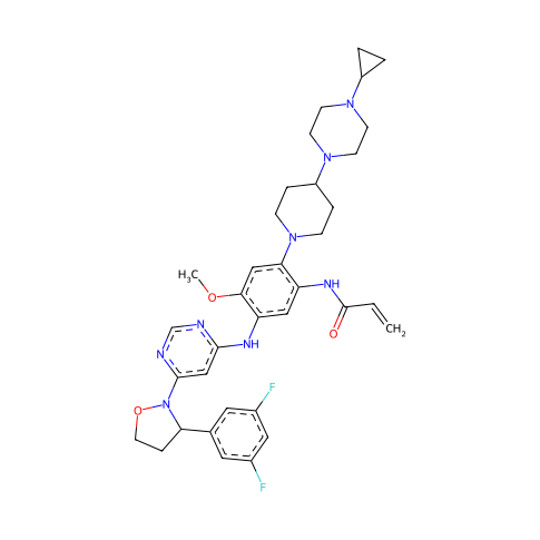 C=CC(=O)Nc1cc(Nc2cc(N3OCCC3c3cc(F)cc(F)c3)ncn2)c(OC)cc1N1CCC(N2CCN(C3CC3)CC2)CC1